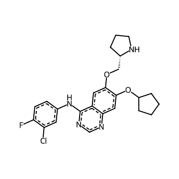 Fc1ccc(Nc2ncnc3cc(OC4CCCC4)c(OC[C@@H]4CCCN4)cc23)cc1Cl